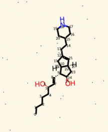 CCCCC[C@H](O)/C=C/[C@@H]1[C@H]2CC(CCC3CCNCC3)=C[C@H]2C[C@H]1O